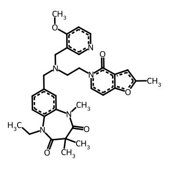 CCN1C(=O)C(C)(C)C(=O)N(C)c2cc(CN(CCn3ccc4oc(C)cc4c3=O)Cc3cnccc3OC)ccc21